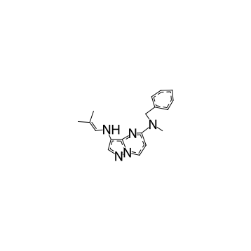 CC(C)=CNc1cnn2ccc(N(C)Cc3ccccc3)nc12